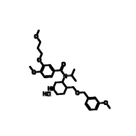 COCCCOc1cc(C(=O)N(C(C)C)C2CNCCC2COCc2cccc(OC)c2)ccc1OC.Cl